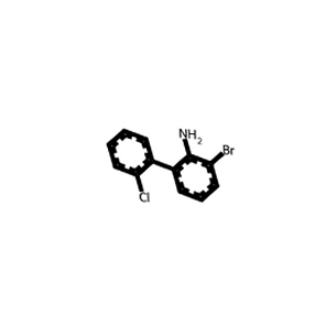 Nc1c(Br)cccc1-c1ccccc1Cl